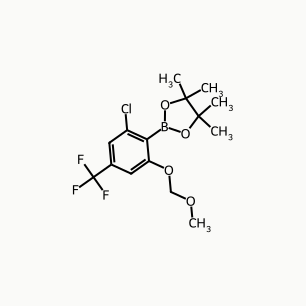 COCOc1cc(C(F)(F)F)cc(Cl)c1B1OC(C)(C)C(C)(C)O1